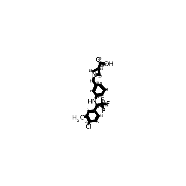 Cc1cc([C@H](Nc2cccc(CN3CC(C(=O)O)C3)c2)C(F)(F)F)ccc1Cl